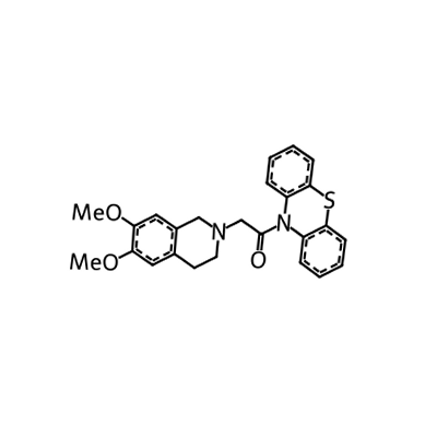 COc1cc2c(cc1OC)CN(CC(=O)N1c3ccccc3Sc3ccccc31)CC2